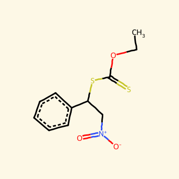 CCOC(=S)SC(C[N+](=O)[O-])c1ccccc1